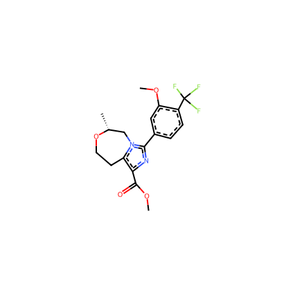 COC(=O)c1nc(-c2ccc(C(F)(F)F)c(OC)c2)n2c1CCO[C@H](C)C2